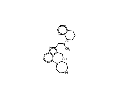 CN(Cc1nc2cccc(N3CCCNCC3)n2c1CO)[C@H]1CCCc2cccnc21